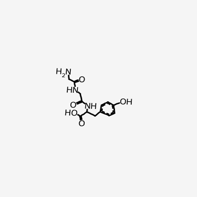 NCC(=O)NCC(=O)NC(Cc1ccc(O)cc1)C(=O)O